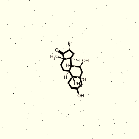 C[C@]12CC=C(O)C[C@@H]1C[C@H](O)[C@@H]1[C@@H]2CC[C@]2(C)C(=O)[C@H](Br)C[C@@H]12